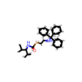 CC(C)C(NC(=O)SCCNC(c1ccccc1)(c1ccccc1)c1ccccc1)C(C)C